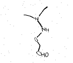 CN(C)NOC=O